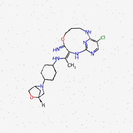 C/C(NC1CCC(N2C[C@H]3CC2CO3)CC1)=C1\Nc2ncc(Cl)c(n2)NCCCOC1=N